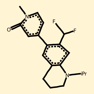 CC(C)N1CCCc2cc(-c3ccn(C)c(=O)c3)c(C(F)F)cc21